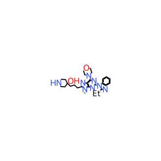 CCc1nc2ccccc2n1-c1nc(N2CCOCC2)c2nc(CCCC3(O)CCNCC3)n(C)c2n1